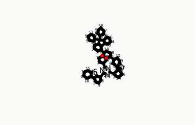 c1ccc(-c2nc(-c3cccc4c3sc3ccccc34)nc(-c3cccc4oc5ccc(-c6ccc(-c7cccc8c7-c7ccccc7C8(c7ccccc7)c7ccccc7)cc6)cc5c34)n2)cc1